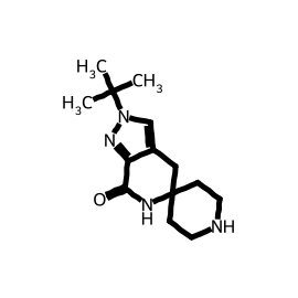 CC(C)(C)n1cc2c(n1)C(=O)NC1(CCNCC1)C2